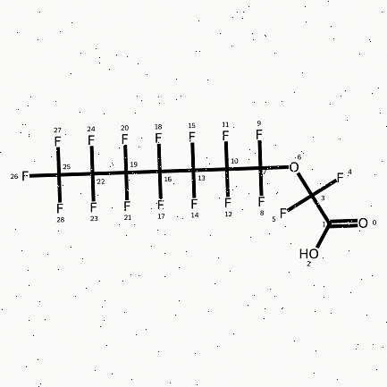 O=C(O)C(F)(F)OC(F)(F)C(F)(F)C(F)(F)C(F)(F)C(F)(F)C(F)(F)C(F)(F)F